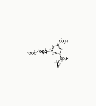 O=C([O-])CO.O=C([O-])c1cc(C(=O)O)cc(S(=O)(=O)O)c1.[Li+].[Li+]